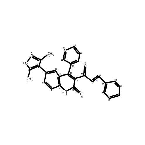 Cc1noc(C)c1-c1ccc2[nH]c(=O)c(C(=O)/C=C/c3ccccc3)c(-c3cccnc3)c2c1